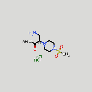 COC(=O)[C@@H](CN)N1CCN(S(C)(=O)=O)CC1.Cl.Cl